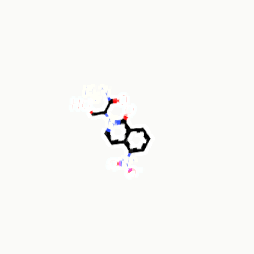 NC(=O)C(CO)n1ccc2c([N+](=O)[O-])cccc2c1=O